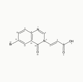 O=C(O)C=Cn1cnc2ccc(Br)cc2c1=O